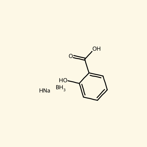 B.O=C(O)c1ccccc1O.[NaH]